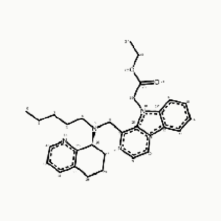 CCCCCN(Cc1nccc2c3ccccc3n(CC(=O)OCC)c12)[C@H]1CCCc2cccnc21